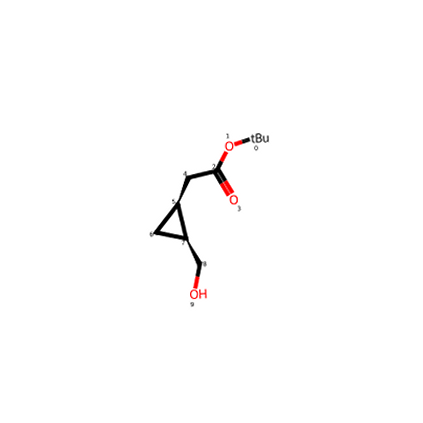 CC(C)(C)OC(=O)C[C@@H]1C[C@@H]1CO